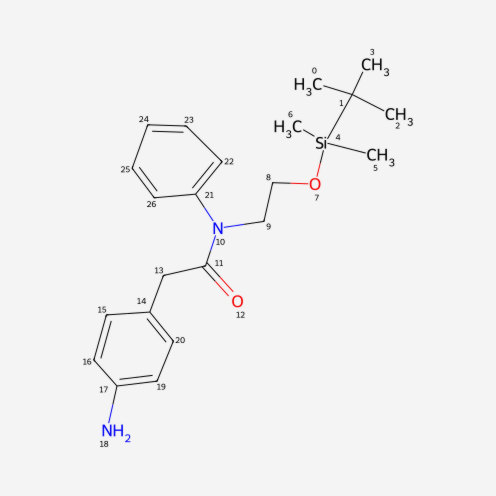 CC(C)(C)[Si](C)(C)OCCN(C(=O)Cc1ccc(N)cc1)c1ccccc1